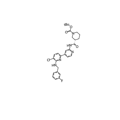 CC(C)(C)OC(=O)N1CCC[C@H](C(=O)Nc2cc(-c3ccc(Cl)c(NCc4cccc(F)c4)n3)ccn2)C1